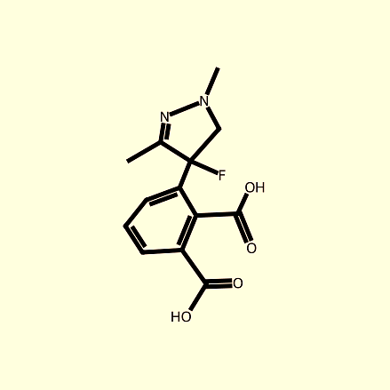 CC1=NN(C)CC1(F)c1cccc(C(=O)O)c1C(=O)O